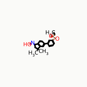 CCS(=O)(=O)c1cccc(-c2ccc3c(c2)C(C)(C)C/C3=N\O)c1